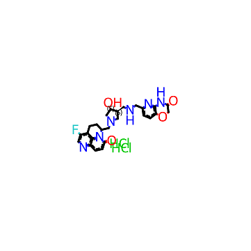 Cl.Cl.O=C1COc2ccc(CNC[C@H]3CN(CC4CCc5c(F)cnc6ccc(=O)n4c56)C[C@H]3O)nc2N1